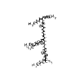 C=C=C=C=CC(CCCCC)CCOC(=O)CCCCCCCC(CCCCCCCC(=O)OCCC(C)CCCCC)CC(=O)OCCCN(C)CC